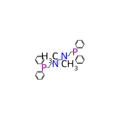 CC(=N\CCP(c1ccccc1)c1ccccc1)/C(C)=N/CCP(c1ccccc1)c1ccccc1